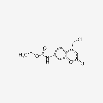 CCOC(=O)Nc1ccc2c(CCl)cc(=O)oc2c1